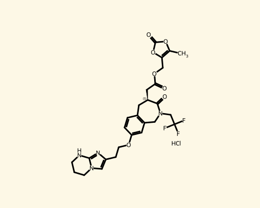 Cc1oc(=O)oc1COC(=O)C[C@@H]1Cc2ccc(OCCc3cn4c(n3)NCCC4)cc2CN(CC(F)(F)F)C1=O.Cl